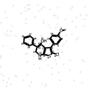 COc1ccc(-c2c(Cl)sc3c2C(O)=C(c2ccccc2)CN3)cc1